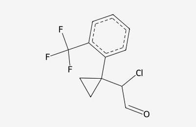 O=CC(Cl)C1(c2ccccc2C(F)(F)F)CC1